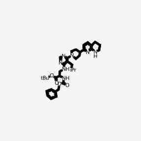 CC(C)Cc1c(NCC(NC(=O)OCc2ccccc2)C(=O)OC(C)(C)C)ncnc1N1CCC(c2ccc3c(n2)NCCC3)CC1